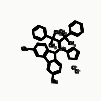 CC(C)(C)c1ccc2c(c1)-c1cc(C(C)(C)C)ccc1[CH]2[Zr+2]([C]1=CC=CC1)=[C](C(C)(C)c1ccccc1)C(C)(C)c1ccccc1.[Cl-].[Cl-]